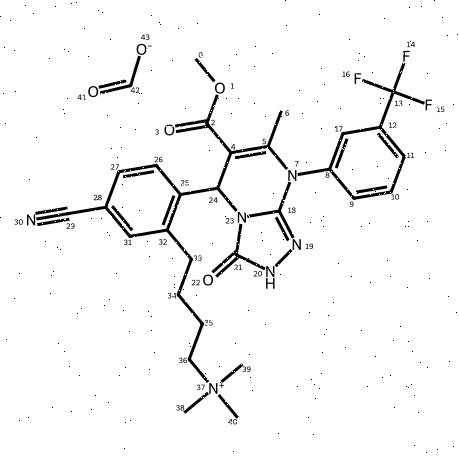 COC(=O)C1=C(C)N(c2cccc(C(F)(F)F)c2)c2n[nH]c(=O)n2C1c1ccc(C#N)cc1CCCC[N+](C)(C)C.O=C[O-]